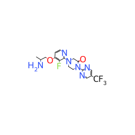 CC(N)COc1ccnc(N2CCN(c3ncc(C(F)(F)F)cn3)C(=O)C2)c1F